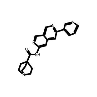 O=C(Nc1cc2cc(-c3cccnc3)ncc2cn1)C12CCN(CC1)CC2